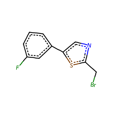 Fc1cccc(-c2cnc(CBr)s2)c1